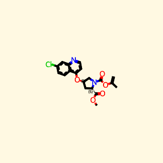 C=C(C)OC(=O)N1C[C@H](Oc2ccnc3cc(Cl)ccc23)C[C@H]1C(=O)OC